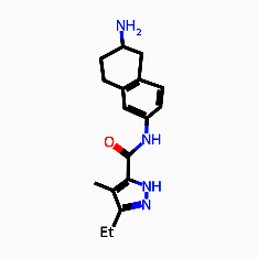 CCc1n[nH]c(C(=O)Nc2ccc3c(c2)CCC(N)C3)c1C